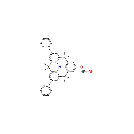 CC1(C)c2cc(OBO)cc3c2N2c4c1cc(-c1ccccc1)cc4C(C)(C)c1cc(-c4ccccc4)cc(c12)C3(C)C